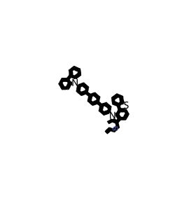 C=C/C=C\c1c(C)n(-c2ccc(-c3ccc(-c4ccc(-n5c6ccccc6c6ccccc65)cc4)cc3)cc2)c2c1ccc1sc3ccccc3c12